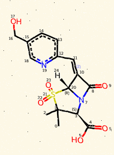 CC1(C)[C@H](C(=O)O)N2C(=O)/C(=C/c3ccc(CO)cn3)[C@H]2S1(=O)=O